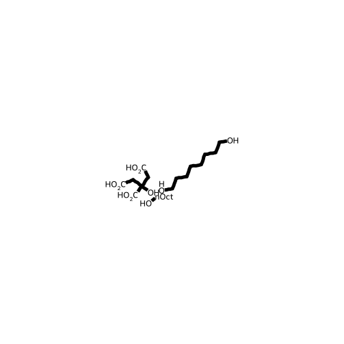 CCCCCCCCO.O=C(O)CC(O)(CC(=O)O)C(=O)O.OCCCCCCCCO